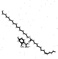 CCCC/C=C\CCCCCCCC(=O)OCCCCCCCCCCCCCCCC.Cc1ccc(C(C)C)c(O)c1.I